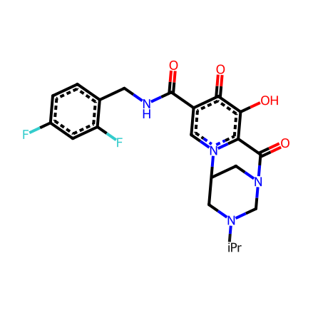 CC(C)N1CC2CN(C1)C(=O)c1c(O)c(=O)c(C(=O)NCc3ccc(F)cc3F)cn12